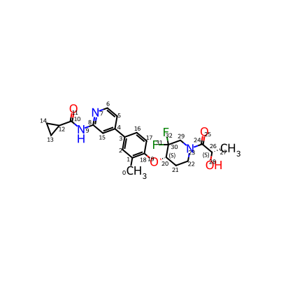 Cc1cc(-c2ccnc(NC(=O)C3CC3)c2)ccc1O[C@H]1CCN(C(=O)[C@H](C)O)CC1(F)F